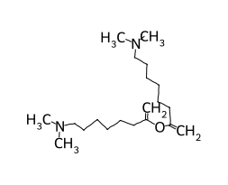 C=C(CCCCCCN(C)C)OC(=C)CCCCCCN(C)C